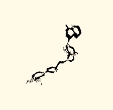 Cc1ccc(N2C[C@@H]3CN(CCc4ccc(N5CCN[C@@H](C)C5)cn4)CCN3[C@H](C)C2)c2cccnc12